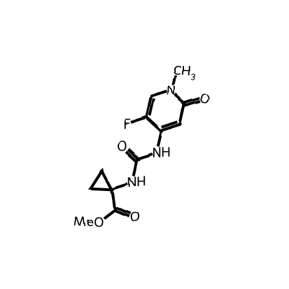 COC(=O)C1(NC(=O)Nc2cc(=O)n(C)cc2F)CC1